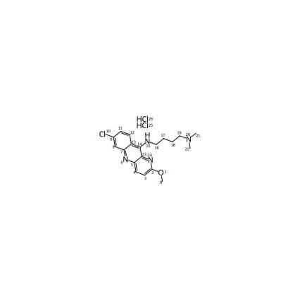 COc1ccc2nc3cc(Cl)ccc3c(NCCCCN(C)C)c2n1.Cl.Cl